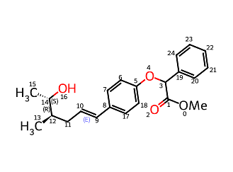 COC(=O)C(Oc1ccc(/C=C/C[C@@H](C)[C@H](C)O)cc1)c1ccccc1